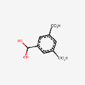 O=C(O)c1cc(C(=O)O)cc(C(O)O)c1